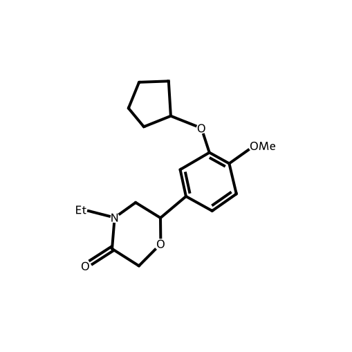 CCN1CC(c2ccc(OC)c(OC3CCCC3)c2)OCC1=O